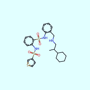 CC(CNCc1ccccc1NS(=O)(=O)c1ccccc1NS(=O)(=O)c1ccsc1)C1CCCCC1